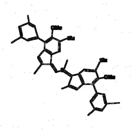 COc1c(C(C)(C)C)cc2c(c1-c1cc(C)cc(C)c1)C=C(C)C2=C[Si](C)=C1C(C)=Cc2c1cc(C(C)(C)C)c(OC)c2-c1cc(C)cc(C)c1